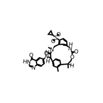 Cc1cc2ccc1[C@@H](C)COC(=O)Nc1ccc(S(=O)(=O)C3CC3)c(c1)CN(C)C(=O)[C@@H]2Nc1ccc2nc[nH]c(=O)c2c1